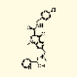 CN(Cc1cc2c(s1)c(=O)c(C(=O)NCc1ccc(Cl)cc1)cn2C)CC(O)c1ccccn1